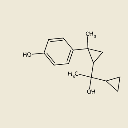 CC1(c2ccc(O)cc2)CC1C(C)(O)C1CC1